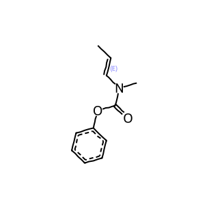 C/C=C/N(C)C(=O)Oc1ccccc1